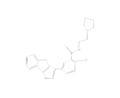 O=C(NCCN1CCCC1)c1cc(-c2n[nH]c3c2Cc2ccccc2-3)ccc1O